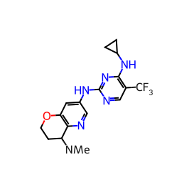 CNC1CCOc2cc(Nc3ncc(C(F)(F)F)c(NC4CC4)n3)cnc21